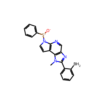 Bc1ccccc1-c1nc2cnc3c(ccn3[S+]([O-])c3ccccc3)c2n1C